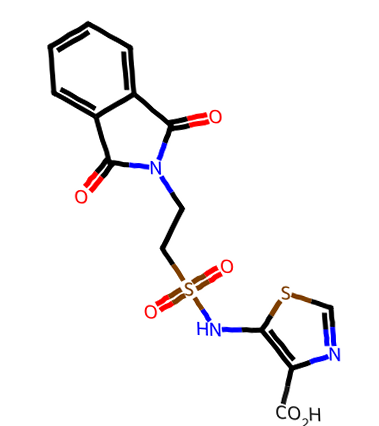 O=C(O)c1ncsc1NS(=O)(=O)CCN1C(=O)c2ccccc2C1=O